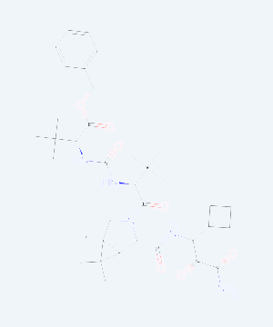 CC(C)(C)[C@H](NC(=O)N[C@H](C(=O)N1C[C@H]2[C@@H]([C@H]1C(=O)NC(C(=O)C(N)=O)C1CCC1)C2(C)C)C(C)(C)C)C(=O)OCc1ccccc1